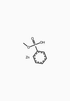 COP(=O)(O)c1ccccc1.[Zn]